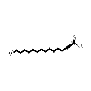 CCCCCCCCCCCCCC#C[C@H](C)O